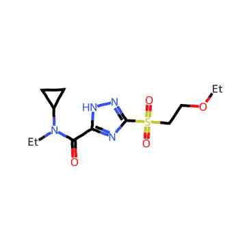 CCOCCS(=O)(=O)c1n[nH]c(C(=O)N(CC)C2CC2)n1